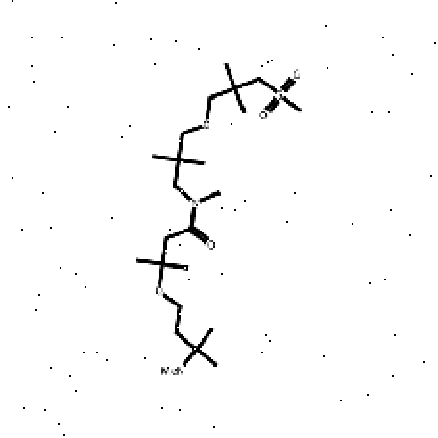 CNC(C)(C)CCOC(C)(C)CC(=O)N(C)CC(C)(C)COCC(C)(C)CS(C)(=O)=O